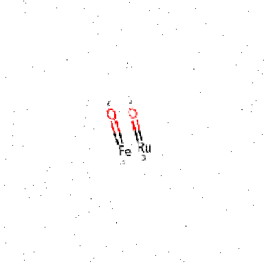 [O]=[Fe].[O]=[Ru]